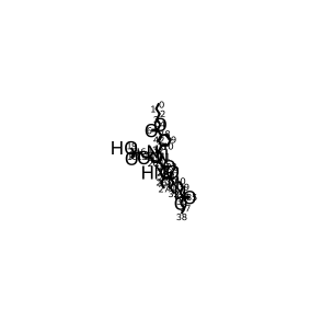 CCCCOC(=O)c1cccc(-c2nc(OCC(=O)O)cc(C(=O)NC(CC)C(=O)N3CCN(C(=O)OCC)CC3)n2)c1